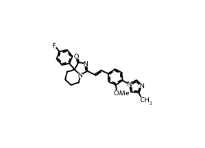 COc1cc(/C=C/C2=NC(=O)C3(c4ccc(F)cc4)CCCCN23)ccc1-n1cnc(C)c1